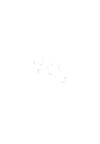 FC(F)(F)c1ccc2ccoc2c1